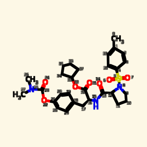 Cc1ccc(S(=O)(=O)N2CCC[C@H]2C(=O)N[C@@H](Cc2ccc(OC(=O)N(C)C)cc2)C(=O)OC2CCCC2)cc1